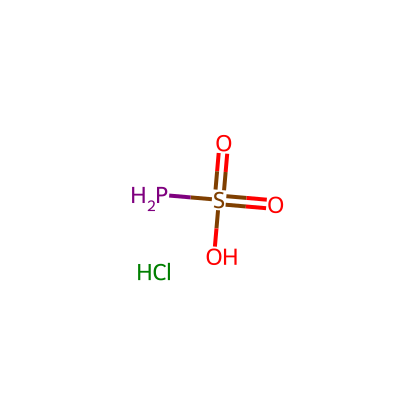 Cl.O=S(=O)(O)P